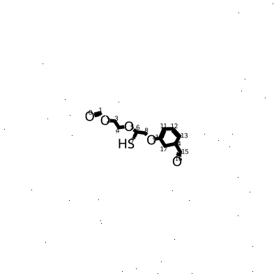 O=COCCOC(S)COC1=CC=CC(C=O)C1